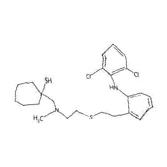 CN(CCSCCc1ccccc1Nc1c(Cl)cccc1Cl)CC1(S)CCCCC1